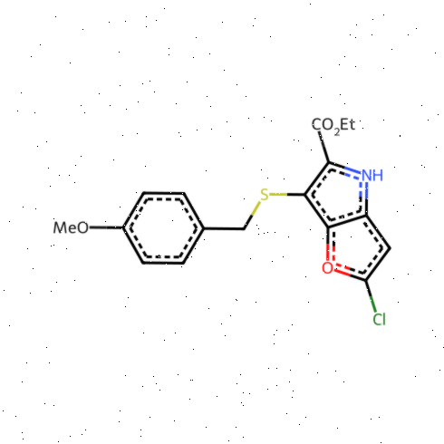 CCOC(=O)c1[nH]c2cc(Cl)oc2c1SCc1ccc(OC)cc1